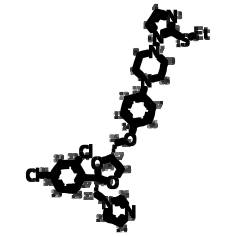 CCSc1nccn1N1CCN(c2ccc(OC[C@@H]3CO[C@@](Cn4ccnc4)(c4ccc(Cl)cc4Cl)O3)cc2)CC1